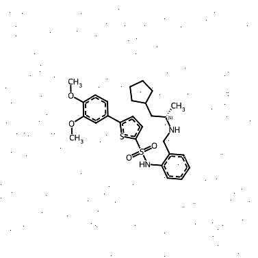 COc1ccc(-c2ccc(S(=O)(=O)Nc3ccccc3CN[C@@H](C)CC3CCCC3)s2)cc1OC